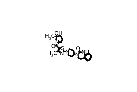 Cc1nc(N2CCC(N3CCc4ccccc4NC3=O)CC2)sc1C(=O)N1CCCC(C)(O)C1